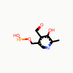 Cc1ncc(COPO)c(C=O)c1O